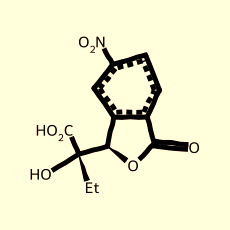 CC[C@@](O)(C(=O)O)[C@@H]1OC(=O)c2ccc([N+](=O)[O-])cc21